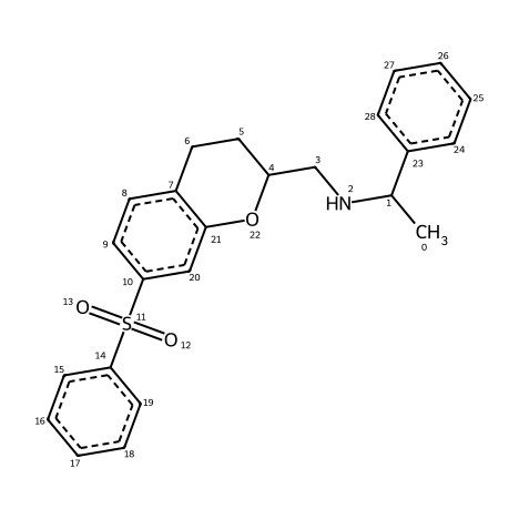 CC(NCC1CCc2ccc(S(=O)(=O)c3ccccc3)cc2O1)c1ccccc1